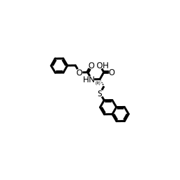 O=C(N[C@@H](CSc1ccc2ccccc2c1)C(=O)O)OCc1ccccc1